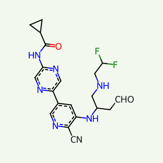 N#Cc1ncc(-c2cnc(NC(=O)C3CC3)cn2)cc1NC(CC=O)CNCC(F)F